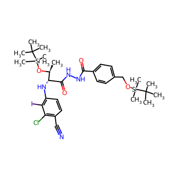 C[C@H](O[Si](C)(C)C(C)(C)C)[C@@H](Nc1ccc(C#N)c(Cl)c1I)C(=O)NNC(=O)c1ccc(CO[Si](C)(C)C(C)(C)C)cc1